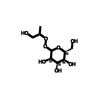 CC(CO)OOC1O[C@H](CO)[C@@H](O)[C@H](O)[C@H]1O